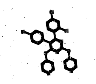 Clc1ccc(-c2c(Oc3ccncc3)nc(Oc3ccncc3)nc2-c2ccc(Cl)cc2Cl)cc1